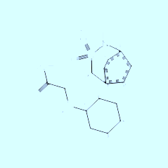 O=C(O)COC1CCCCC1.O=S1(=O)Cc2ccc(cc2)N1